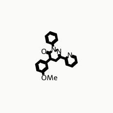 COc1cccc(C2CC(c3ccccn3)=NN(c3ccccc3)C2=O)c1